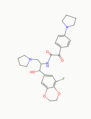 O=C(NC(CN1CCCC1)C(O)c1cc(F)c2c(c1)OCCO2)C(=O)c1ccc(N2CCCC2)cc1